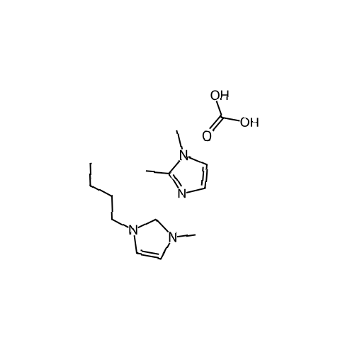 CCCCN1C=CN(C)C1.Cc1nccn1C.O=C(O)O